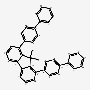 CC1(C)c2c(-c3ccc(-c4ccccc4)cc3)cccc2-c2cccc(-c3ccc(-c4cccnc4)cc3)c21